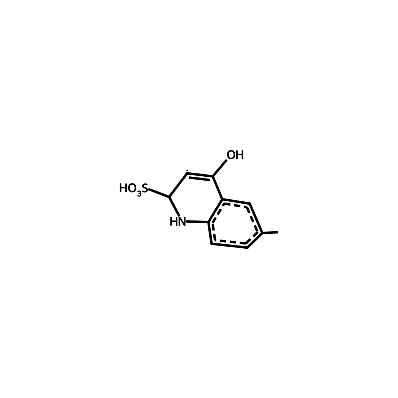 Cc1ccc2c(c1)C(O)=[C]C(S(=O)(=O)O)N2